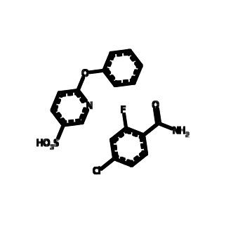 NC(=O)c1ccc(Cl)cc1F.O=S(=O)(O)c1ccc(Oc2ccccc2)nc1